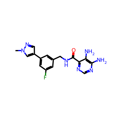 Cn1cc(-c2cc(F)cc(CNC(=O)c3ncnc(N)c3N)c2)cn1